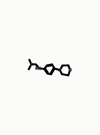 CN(C)CNc1ccc(N2CCOCC2)cc1